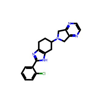 Clc1ccccc1-c1nc2c([nH]1)CC(N1Cc3nccnc3C1)CC2